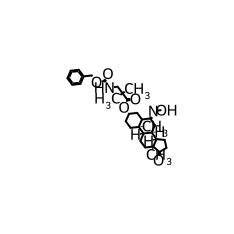 CC(C)(CNC(=O)OCc1ccccc1)C(=O)O[C@H]1CC[C@@]2(C)C(C1)/C(=N/O)C[C@@H]1[C@@H]2CC[C@]2(C)C(=O)CC[C@@H]12